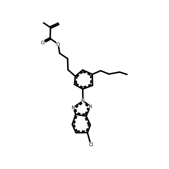 C=C(C)C(=O)OCCCc1cc(CCCC)cc(-n2nc3ccc(Cl)cc3n2)c1